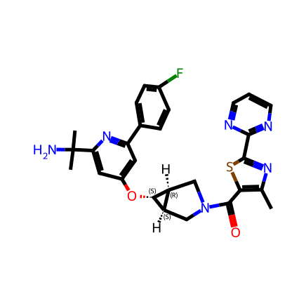 Cc1nc(-c2ncccn2)sc1C(=O)N1C[C@@H]2[C@H](C1)[C@H]2Oc1cc(-c2ccc(F)cc2)nc(C(C)(C)N)c1